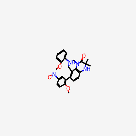 COc1ccccc1NCc1c(-c2cc(N=O)ccc2OC)ccc2c1N(C)C(=O)C(C)(C)N2